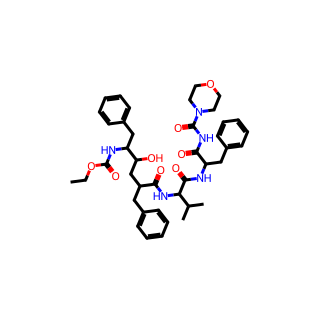 CCOC(=O)NC(Cc1ccccc1)C(O)CC(Cc1ccccc1)C(=O)NC(C(=O)NC(Cc1ccccc1)C(=O)NC(=O)N1CCOCC1)C(C)C